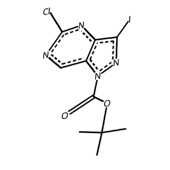 CC(C)(C)OC(=O)n1nc(I)c2nc(Cl)ncc21